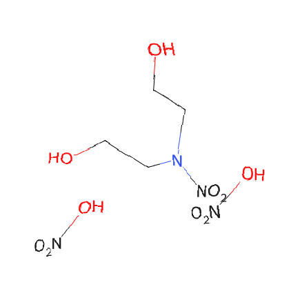 O=[N+]([O-])N(CCO)CCO.O=[N+]([O-])O.O=[N+]([O-])O